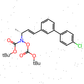 C[C@H](/C=C/c1cccc(-c2ccc(Cl)cc2)c1)N(OC(=O)OC(C)(C)C)C(=O)OC(C)(C)C